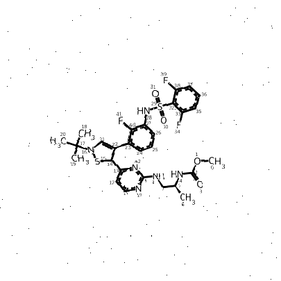 COC(=O)N[C@@H](C)CNc1nccc(C2SN(C(C)(C)C)C=C2c2cccc(NS(=O)(=O)c3c(F)cccc3F)c2F)n1